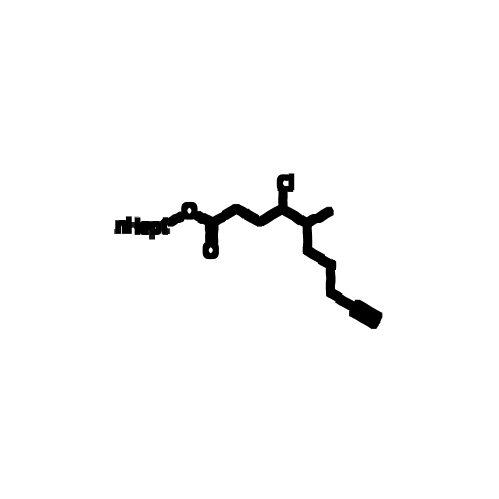 C#CCCCC(C)C(Cl)CCC(=O)OCCCCCCC